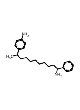 CC(CCCCCCCCC(N)c1ccccc1)c1ccc(N)cc1